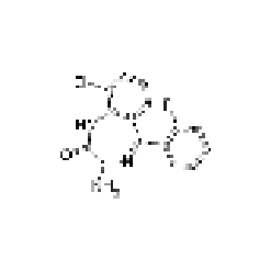 NC1N=C(c2ccccc2F)c2cccc(Cl)c2NC1=O